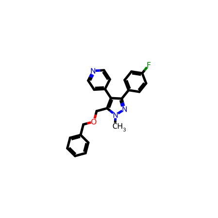 Cn1nc(-c2ccc(F)cc2)c(-c2ccncc2)c1COCc1ccccc1